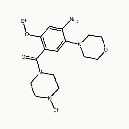 CCOc1cc(N)c(N2CCOCC2)cc1C(=O)N1CCN(CC)CC1